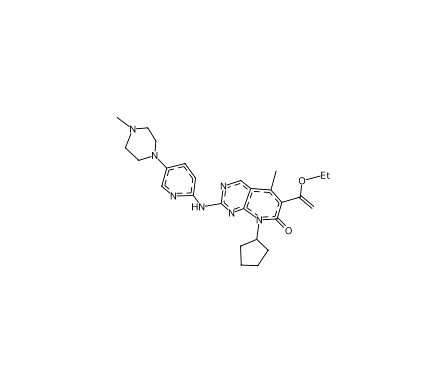 C=C(OCC)c1c(C)c2cnc(Nc3ccc(N4CCN(C)CC4)cn3)nc2n(C2CCCC2)c1=O